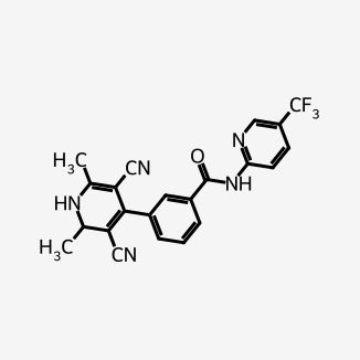 CC1=C(C#N)C(c2cccc(C(=O)Nc3ccc(C(F)(F)F)cn3)c2)=C(C#N)C(C)N1